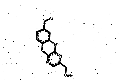 COCc1cnc2c(n1)Nc1cc(CCl)ccc1S2